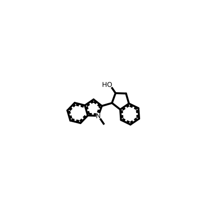 Cn1c(C2c3ccccc3CC2O)cc2ccccc21